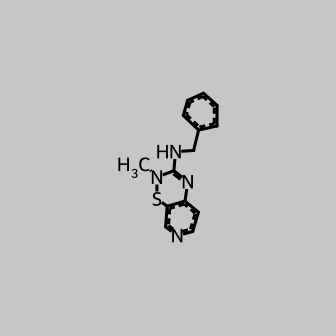 CN1Sc2cnccc2N=C1NCc1ccccc1